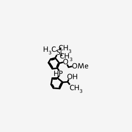 COCOc1c(Pc2ccccc2C(C)O)cccc1[Si](C)(C)C